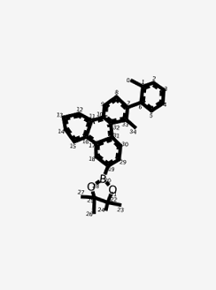 Cc1ccccc1-c1ccc2c3ccccc3c3cc(B4OC(C)(C)C(C)(C)O4)ccc3c2c1C